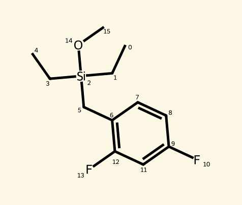 CC[Si](CC)(Cc1ccc(F)cc1F)OC